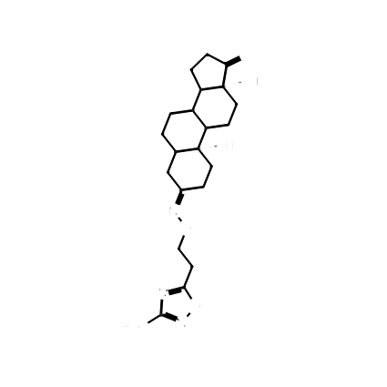 Cc1noc(CCO/N=C2\CC[C@@]3(C)C(CCC4C3CC[C@]3(C)C(=O)CCC43)C2)n1